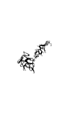 COC(=O)[C@H]1O[C@@H](SC2=Nc3ccc(-c4ccc(N)n4C)cc3C(C)(C)O2)[C@H](OC(C)=O)[C@@H](OC(C)=O)[C@@H]1OC(C)=O